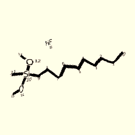 CCCCCCCCCC[Si](C)(OC)OC.F